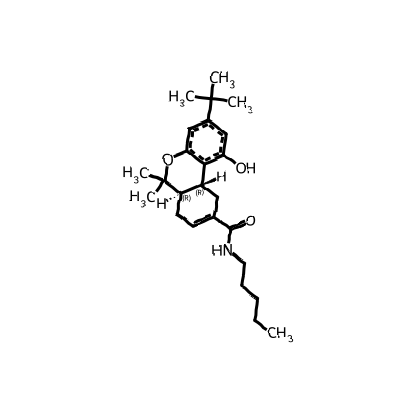 CCCCCNC(=O)C1=CC[C@@H]2[C@@H](C1)c1c(O)cc(C(C)(C)C)cc1OC2(C)C